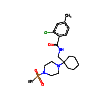 CCCS(=O)(=O)N1CCN(C2(CNC(=O)c3ccc(C)cc3Cl)CCCCC2)CC1